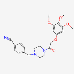 COc1cc(OCC(=O)N2CCN(Cc3ccc(C#N)cc3)CC2)cc(OC)c1OC